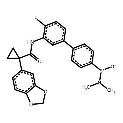 CN(C)[S+]([O-])c1ccc(-c2ccc(F)c(NC(=O)C3(c4ccc5c(c4)OCO5)CC3)c2)cc1